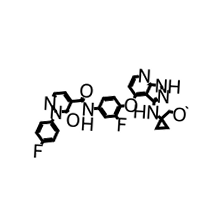 COCC1(Nc2n[nH]c3nccc(Oc4ccc(NC(=O)c5ccnn(-c6ccc(F)cc6)c5=O)cc4F)c23)CC1